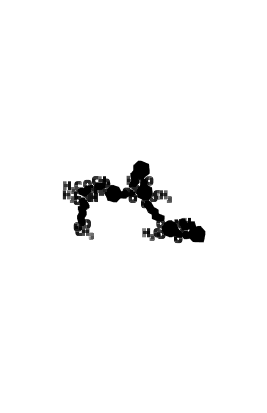 COC(=O)CCCCC(=O)N[C@H](C(=O)N[C@@H](C)C(=O)Nc1ccc(COC(=O)N2C[C@@H]3Cc4ccccc4N3C(=O)c3cc(OC)c(OCCCCCOc4cc5c(cc4OC)C(=O)N4Cc6ccccc6C[C@H]4C=N5)cc32)cc1)C(C)C